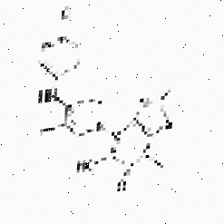 Cc1nc2c(N3CC[C@H](Nc4ccc(Cl)cc4)[C@H](C)C3)c(C#N)c(=O)n(C)c2s1